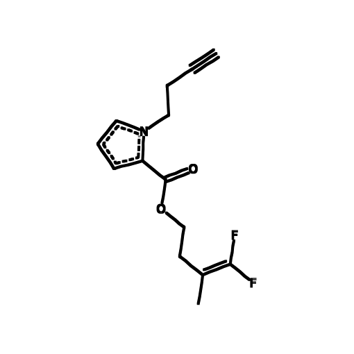 C#CCCn1cccc1C(=O)OCCC(C)=C(F)F